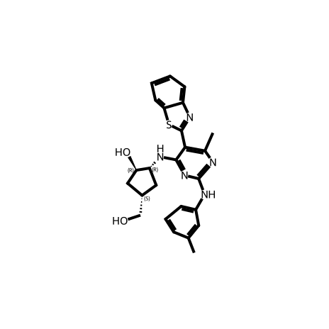 Cc1cccc(Nc2nc(C)c(-c3nc4ccccc4s3)c(N[C@@H]3C[C@H](CO)C[C@H]3O)n2)c1